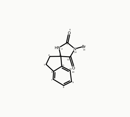 O=C1NC2(CCc3ccccc32)C(=O)N1Br